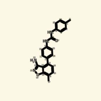 Cc1ccc(NC(=O)Nc2ccc(-c3ccc(C)c4onc(N)c34)cc2)cc1